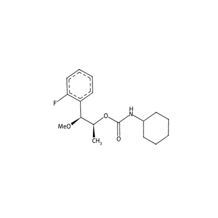 CO[C@@H](c1ccccc1F)[C@H](C)OC(=O)NC1CCCCC1